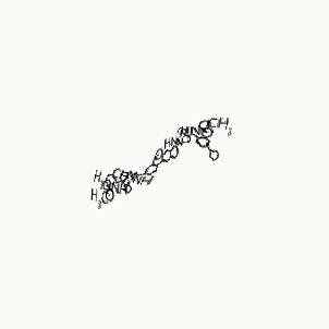 COC(=O)N[C@H](C(=O)N1CCC[C@H]1c1ncc(-c2ccc3c(c2)COc2cc4c(ccc5nc([C@@H]6CCCN6C(=O)[C@H](NC(=O)OC)c6ccc(C7CCCC7)cc6)[nH]c54)cc2-3)[nH]1)C(C)C